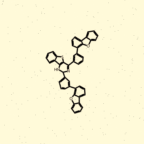 c1cc(C2=NC(c3cccc(-c4cccc5c4oc4ccccc45)c3)Nc3c2sc2ccccc32)cc(-c2cccc3c2oc2ccccc23)c1